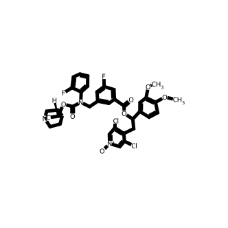 COc1ccc(C(Cc2c(Cl)c[n+]([O-])cc2Cl)OC(=O)c2cc(F)cc(CN(C(=O)O[C@H]3CN4CCC3CC4)c3ccccc3F)c2)cc1OC